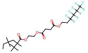 CCC(C)(C)CC(C)(C(=O)OCCOC(=O)CCC(=O)OCCC(F)(F)C(F)(F)C(F)(F)C(F)(F)F)C(C)(C)C